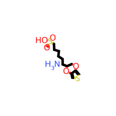 N.O=S(=O)(O)CCCCCCC1COc2cscc2O1